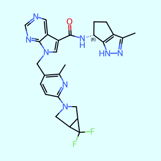 Cc1nc(N2CC3C(C2)C3(F)F)ccc1Cn1cc(C(=O)N[C@@H]2CCc3c(C)n[nH]c32)c2cncnc21